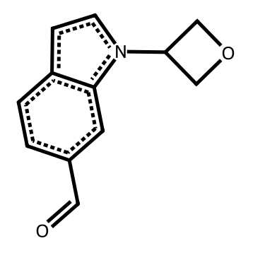 O=Cc1ccc2ccn(C3COC3)c2c1